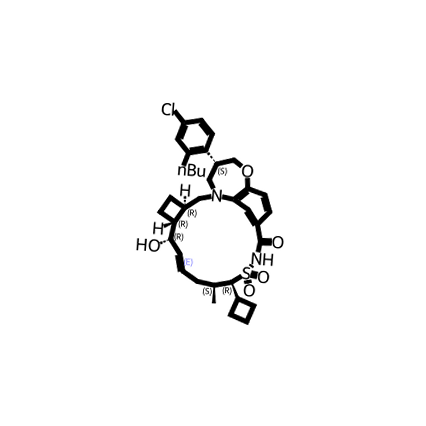 CCCCc1cc(Cl)ccc1[C@@H]1COc2ccc3cc2N(C1)C[C@@H]1CC[C@H]1[C@@H](O)/C=C/C[C@H](C)[C@H](C1CCC1)S(=O)(=O)NC3=O